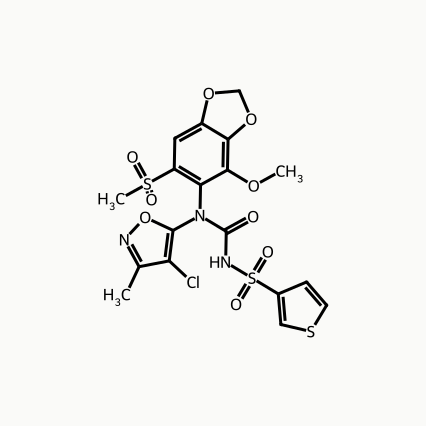 COc1c2c(cc(S(C)(=O)=O)c1N(C(=O)NS(=O)(=O)c1ccsc1)c1onc(C)c1Cl)OCO2